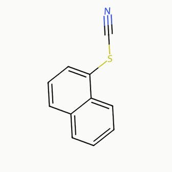 N#CSc1cccc2ccccc12